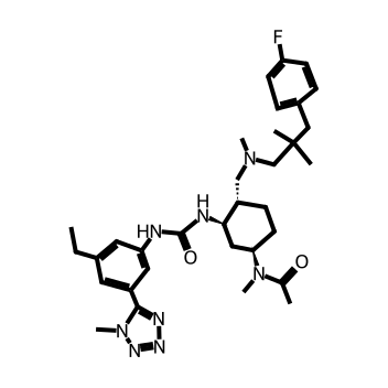 CCc1cc(NC(=O)N[C@@H]2C[C@H](N(C)C(C)=O)CC[C@H]2CN(C)CC(C)(C)Cc2ccc(F)cc2)cc(-c2nnnn2C)c1